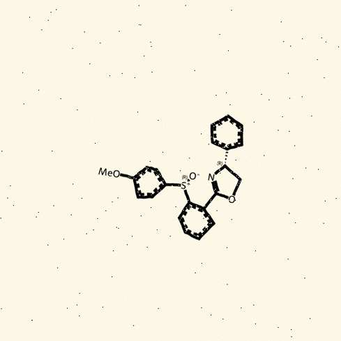 COc1ccc([S@+]([O-])c2ccccc2C2=N[C@H](c3ccccc3)CO2)cc1